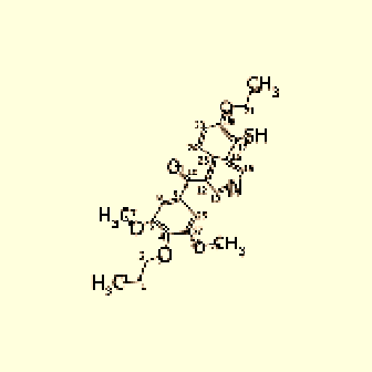 CCCOc1c(OC)cc(C(=O)c2cncc3c(S)c(OCC)ccc23)cc1OC